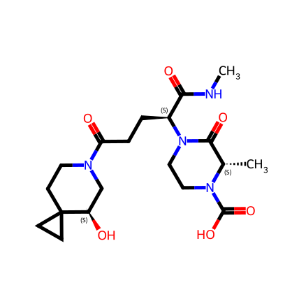 CNC(=O)[C@H](CCC(=O)N1CCC2(CC2)[C@H](O)C1)N1CCN(C(=O)O)[C@@H](C)C1=O